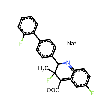 CC1(F)C(C(=O)[O-])=c2cc(F)ccc2=NC1c1ccc(-c2ccccc2F)cc1.[Na+]